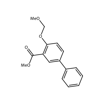 COCOc1ccc(-c2ccccc2)cc1C(=O)OC